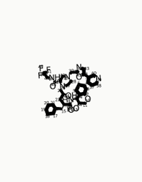 O=C(N[C@H]1c2ccccc2OC[C@H]1O)[C@H](Cc1ccccc1)C[C@H](O)CN1CCN(Cc2ncc(-c3cccnc3)o2)C[C@H]1C(=O)NCC(F)(F)F